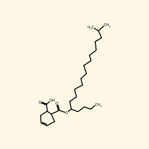 CCCCC(CCCCCCCCCCCCC(C)C)OC(=O)C1CC=CCC1C(=O)O